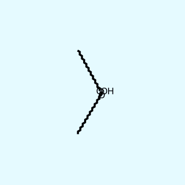 CCCCCCCCCCCCCCCCCCC=COP(O)OC=CCCCCCCCCCCCCCCCCCC